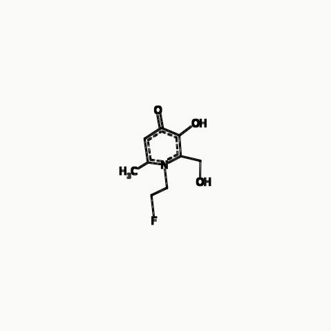 Cc1cc(=O)c(O)c(CO)n1CCF